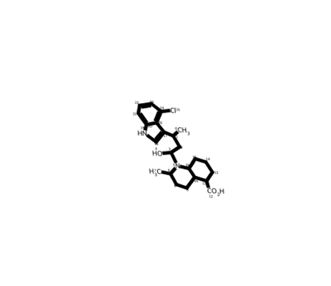 CC(CC(O)N1C(C)CCC2C(C(=O)O)CCCC21)c1c[nH]c2cccc(Cl)c12